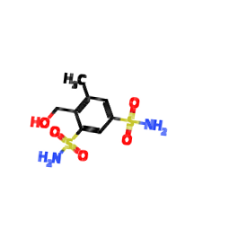 Cc1cc(S(N)(=O)=O)cc(S(N)(=O)=O)c1CO